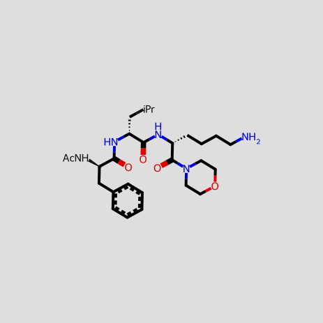 [CH2]C(=O)N[C@H](Cc1ccccc1)C(=O)N[C@H](CC(C)C)C(=O)N[C@H](CCCCN)C(=O)N1CCOCC1